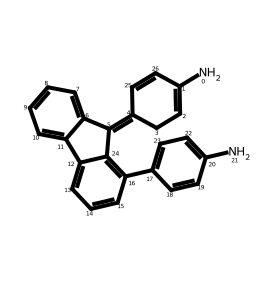 NC1=CCC(=C2c3ccccc3-c3cccc(-c4ccc(N)cc4)c32)C=C1